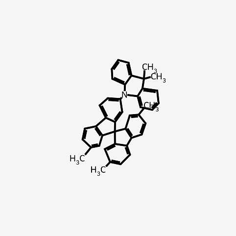 Cc1ccc2c(c1)C1(c3cc(C)ccc3-2)c2cc(C)ccc2-c2ccc(N3c4ccccc4C(C)(C)c4ccccc43)cc21